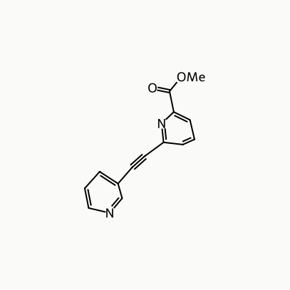 COC(=O)c1cccc(C#Cc2cccnc2)n1